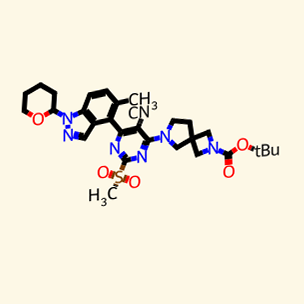 Cc1ccc2c(cnn2C2CCCCO2)c1-c1nc(S(C)(=O)=O)nc(N2CCC3(CN(C(=O)OC(C)(C)C)C3)C2)c1C#N